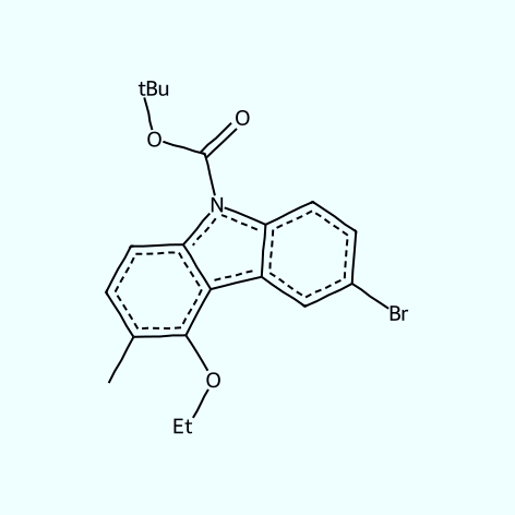 CCOc1c(C)ccc2c1c1cc(Br)ccc1n2C(=O)OC(C)(C)C